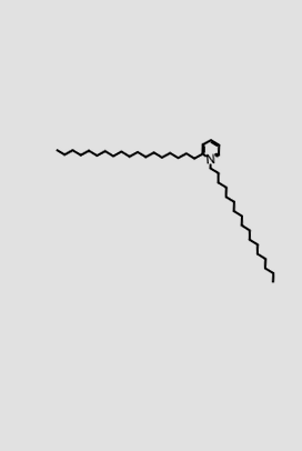 CCCCCCCCCCCCCCCCCCc1cccc[n+]1CCCCCCCCCCCCCCCCC